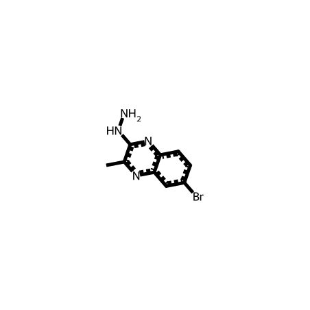 Cc1nc2cc(Br)ccc2nc1NN